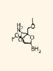 BC1OC2(COI)C(N)OC1C2OI